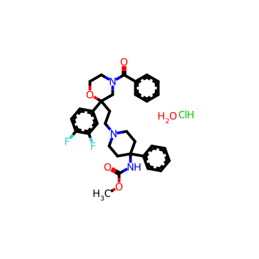 COC(=O)NC1(c2ccccc2)CCN(CCC2(c3ccc(F)c(F)c3)CN(C(=O)c3ccccc3)CCO2)CC1.Cl.O